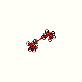 CCCCC1(OCCOC(=O)CCC(=O)OCCCCCCCCCCOC(=O)CCC(=O)OCCOC2(CCCC)c3cc(OC)ccc3-c3c2c2c(c4cc(OC)ccc34)OC(c3ccc(OC)cc3)(c3ccc(OC)cc3)C=C2)C2=C(C=CC(OC)C2)c2c1c1c(c3cc(OC)ccc23)OC(c2ccc(OC)cc2)(c2ccc(OC)cc2)C=C1